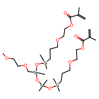 C=C(C)C(=O)OCCOCCC[Si](C)(C)O[Si](C)(C)O[Si](C)(COCCOC)O[Si](C)(C)CCCOCCOC(=O)C(=C)C